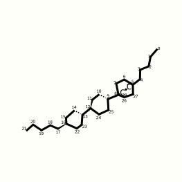 CCCCCC12CCC([C@H]3CC[C@H]([C@H]4CC[C@H](CCCCC)CC4)CC3)(CC1)CC2